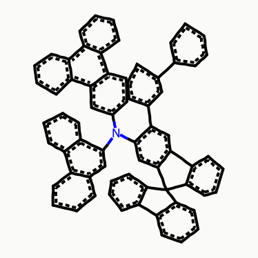 c1ccc(-c2cccc(-c3cc4c(cc3N(c3ccc5c6ccccc6c6ccccc6c5c3)c3cc5ccccc5c5ccccc35)C3(c5ccccc5-c5ccccc53)c3ccccc3-4)c2)cc1